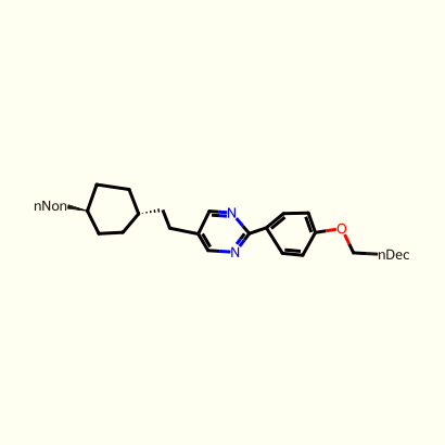 CCCCCCCCCCCOc1ccc(-c2ncc(CC[C@H]3CC[C@H](CCCCCCCCC)CC3)cn2)cc1